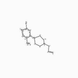 C=CCN1CCN(c2cc(F)ncc2N)CC1